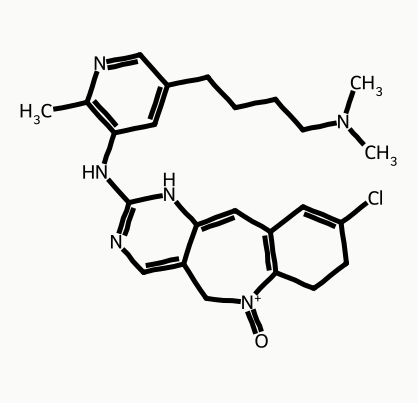 Cc1ncc(CCCCN(C)C)cc1NC1=NC=C2C[N+](=O)C3=C(C=C(Cl)CC3)C=C2N1